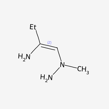 CC/C(N)=C/N(C)N